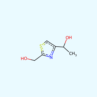 CC(O)c1csc(CO)n1